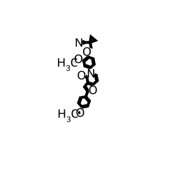 COc1ccc(-c2cc3c(=O)n(-c4ccc(OCC5(C#N)CC5)c(OC)c4)ccc3o2)cc1